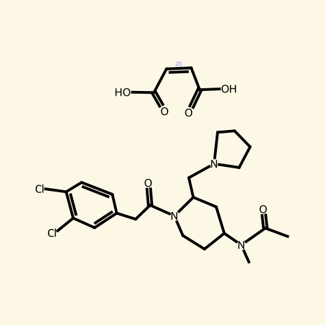 CC(=O)N(C)C1CCN(C(=O)Cc2ccc(Cl)c(Cl)c2)C(CN2CCCC2)C1.O=C(O)/C=C\C(=O)O